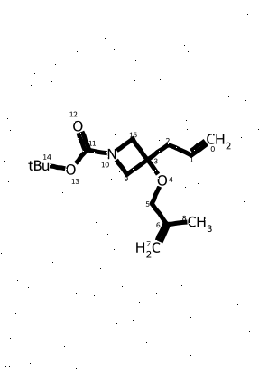 C=CCC1(OCC(=C)C)CN(C(=O)OC(C)(C)C)C1